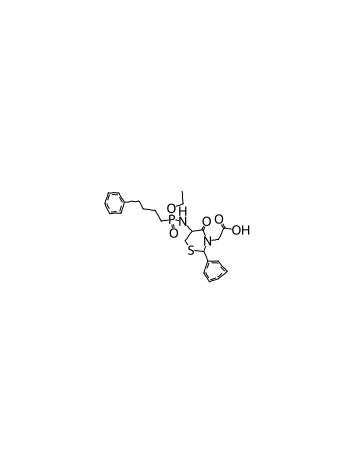 CCOP(=O)(CCCCc1ccccc1)NC1CSC(c2ccccc2)N(CC(=O)O)C1=O